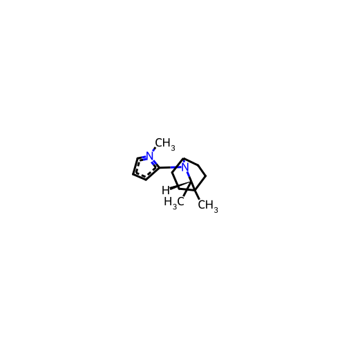 C[C@@H]1N(c2cccn2C)C2CCC1(C)CC2